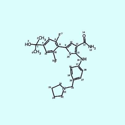 CC(C)(O)c1cc(F)c(-c2cc(C(N)=O)c(Nc3ccc(CN4CCCC4)cc3)s2)c(F)c1